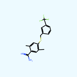 Cc1cc(C(=N)N)c(C)cc1SCc1cccc(C(F)(F)F)c1